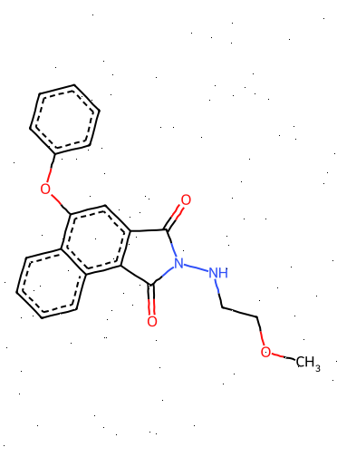 COCCNN1C(=O)c2cc(Oc3ccccc3)c3ccccc3c2C1=O